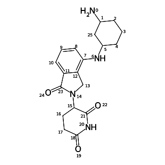 NC1CCCC(Nc2cccc3c2CN(C2CCC(=O)NC2=O)C3=O)C1